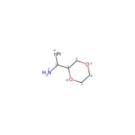 CCCC(N)C1COCCO1